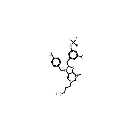 CN1CN(CCCO)C=C2C1=NC(Cc1cc(Cl)cc(OC(F)(F)F)c1)N2Cc1ccc(Cl)cc1